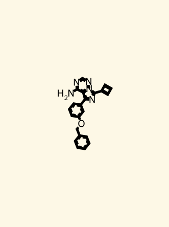 Nc1ncnn2c(C3=CC=C3)nc(-c3cccc(OCc4ccccc4)c3)c12